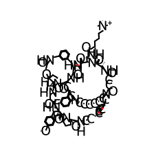 COc1ccc(C[C@@H]2NC(=O)CNC(=O)[C@@H]3[C@@H]4CCN3C(=O)C3Cc5cn(c6ccc(F)cc56)CCCCCCN(Cc5ccc(cc5)CCNC(=O)[C@]5(C)CCCN5C2=O)C(=O)CCC(=O)N[C@@H](C)C(=O)NC(CNC(=O)CCCCC[N+](C)(C)C)C(=O)N[C@@H](Cc2cccc(c2)CNC(=O)CO4)C(=O)N3)cc1